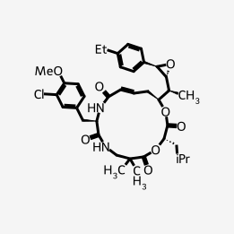 CCc1ccc([C@H]2O[C@@H]2[C@@H](C)[C@@H]2C/C=C/C(=O)N[C@H](Cc3ccc(OC)c(Cl)c3)C(=O)NCC(C)(C)C(=O)O[C@@H](CC(C)C)C(=O)O2)cc1